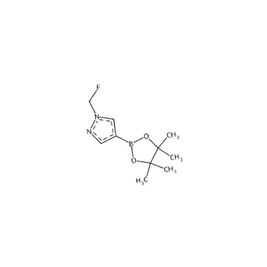 CC1(C)OB(c2cnn(CF)c2)OC1(C)C